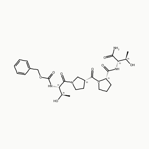 C[C@@H](O)[C@H](NC(=O)[C@@H]1CCCN1C(=O)[C@@H]1CCN(C(=O)[C@@H](NC(=O)OCc2ccccc2)[C@@H](C)O)C1)C(N)=O